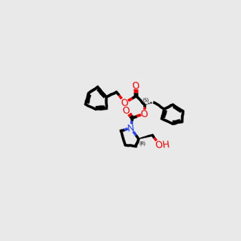 O=C(OCc1ccccc1)[C@H](Cc1ccccc1)OC(=O)N1CCC[C@@H]1CO